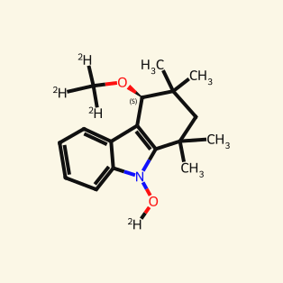 [2H]On1c2c(c3ccccc31)[C@@H](OC([2H])([2H])[2H])C(C)(C)CC2(C)C